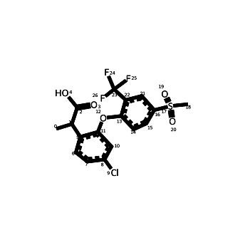 CC(C(=O)O)c1ccc(Cl)cc1Oc1ccc(S(C)(=O)=O)cc1C(F)(F)F